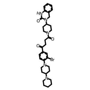 O=C(CCC(=O)N1CCC(N2Cc3ccccc3NC2=O)CC1)c1ccc(N2CCC(N3CCCCC3)CC2)c(Br)c1